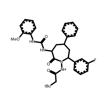 COc1ccccc1NC(=O)NC1CC(c2ccccc2)CC(c2cccc(F)c2)N(NC(=O)CC(C)(C)C)C1=O